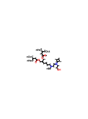 CCCCCCCCC(CCCCCC)CC(=O)OCC(CCCCN(CCCC)CCN(CCO)C1CCC1)COC(=O)CC(CCCCCC)CCCCCCCC